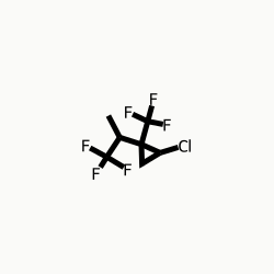 CC(C(F)(F)F)C1(C(F)(F)F)CC1Cl